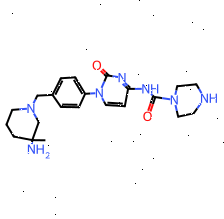 CC1(N)CCCN(Cc2ccc(-n3ccc(NC(=O)N4CCNCC4)nc3=O)cc2)C1